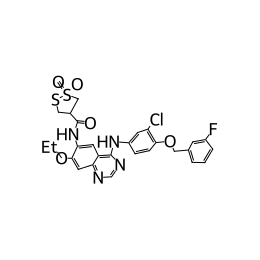 CCOc1cc2ncnc(Nc3ccc(OCc4cccc(F)c4)c(Cl)c3)c2cc1NC(=O)C1CSS(=O)(=O)C1